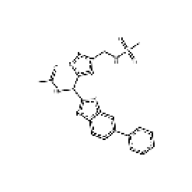 CC(=O)NC(c1nnc(CNS(C)(=O)=O)o1)c1nc2ccc(-c3ccccc3)cc2s1